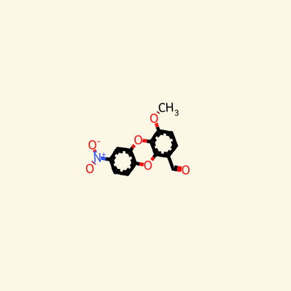 COc1ccc(C=O)c2c1Oc1cc([N+](=O)[O-])ccc1O2